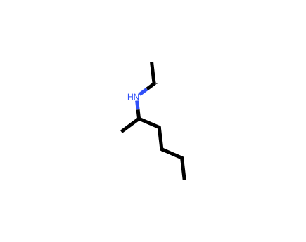 C[CH]NC(C)CCCC